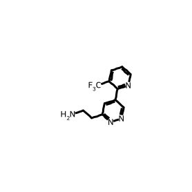 NCCc1cc(-c2ncccc2C(F)(F)F)cnn1